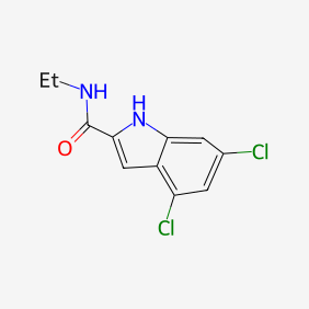 CCNC(=O)c1cc2c(Cl)cc(Cl)cc2[nH]1